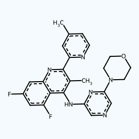 Cc1ccnc(-c2nc3cc(F)cc(F)c3c(Nc3cncc(N4CCOCC4)n3)c2C)c1